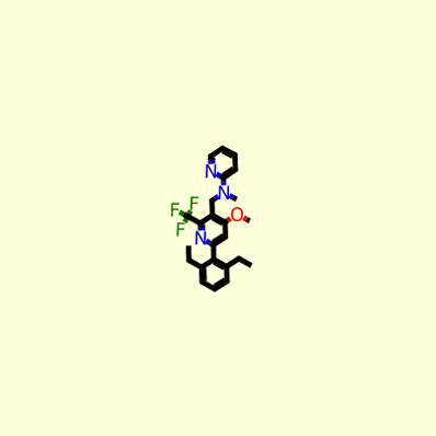 CCc1cccc(CC)c1-c1cc(OC)c(CN(C)c2ccccn2)c(C(F)(F)F)n1